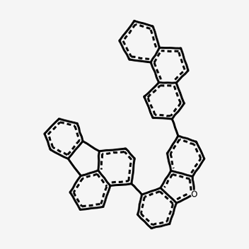 c1ccc2c(c1)-c1cccc3c(-c4cccc5oc6ccc(-c7ccc8c(ccc9ccccc98)c7)cc6c45)ccc-2c13